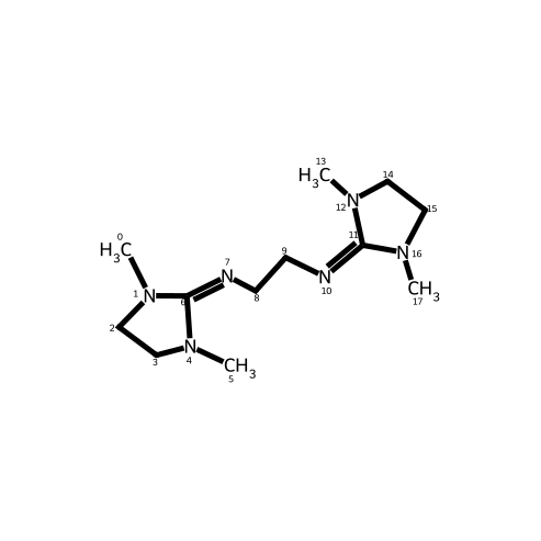 CN1CCN(C)C1=NCCN=C1N(C)CCN1C